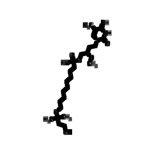 B=C1NC(=O)N(CCC(COP(=O)(O)CCCCCCCCCOC(C)(C)CCO)OC)C=C1C